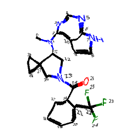 CN(c1ncnc2[nH]ccc12)[C@H]1CN(C(=O)c2ccccc2C(F)(F)F)CC12CC2